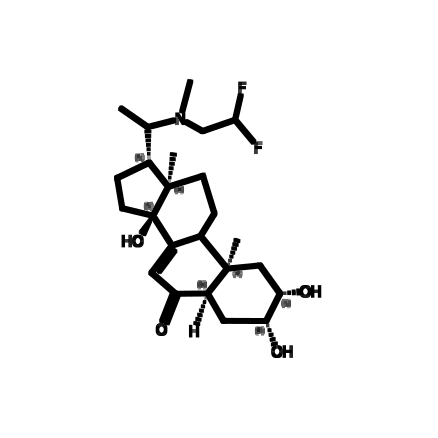 CC([C@H]1CC[C@@]2(O)C3=CC(=O)[C@@H]4C[C@@H](O)[C@@H](O)C[C@]4(C)C3CC[C@]12C)N(C)CC(F)F